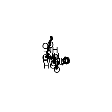 C=CCOC(=O)N[C@@H](C)C(=O)NNS(=O)(=O)N[C@H](Cc1ccccc1)C(=O)O